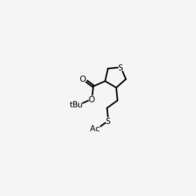 CC(=O)SCCC1CSCC1C(=O)OC(C)(C)C